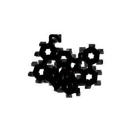 C=C[C@H](C1Cc2c1n(-c1cccc3c1C(=O)N(c1c(-c4ccccc4)cccc1-c1ccccc1)C3=O)c1c(-c3ccc(C#N)cc3)cccc21)[C@@H](C)[C@H](C)[C@@H](C)[C@@H](C)C#N